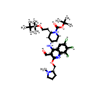 CN1CCC[C@@H]1COc1nc2c(F)c(Br)c(Cl)cc2c(N[C@H]2CCN(C(=O)OC(C)(C)C)[C@H](CCO[Si](C)(C)C(C)(C)C)C2)c1C=O